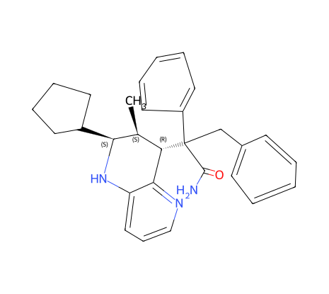 C[C@H]1[C@H](C(Cc2ccccc2)(C(N)=O)c2ccccc2)c2ncccc2N[C@H]1C1CCCC1